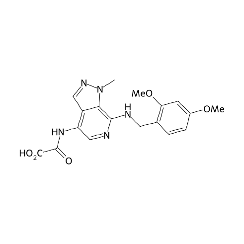 COc1ccc(CNc2ncc(NC(=O)C(=O)O)c3cnn(C)c23)c(OC)c1